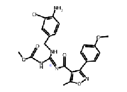 COC(=O)N/C(=N/C(=O)c1c(-c2ccc(OC)cc2)noc1C)NCc1ccc(N)c(Cl)c1